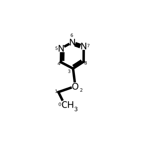 CCOc1cnnnc1